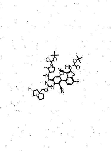 CC1C(N(C)c2nc(OC[C@@]34CCCN3C[C@H](F)C4)nc3c(C#N)c(-c4ccc(F)c5sc(NC(=O)OC(C)(C)C)c(C#N)c45)c(Cl)cc23)CCN1C(=O)OC(C)(C)C